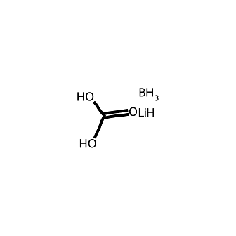 B.O=C(O)O.[LiH]